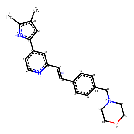 CC(C)c1[nH]c(-c2ccnc(/C=C/c3ccc(CN4CCOCC4)cc3)c2)cc1C#N